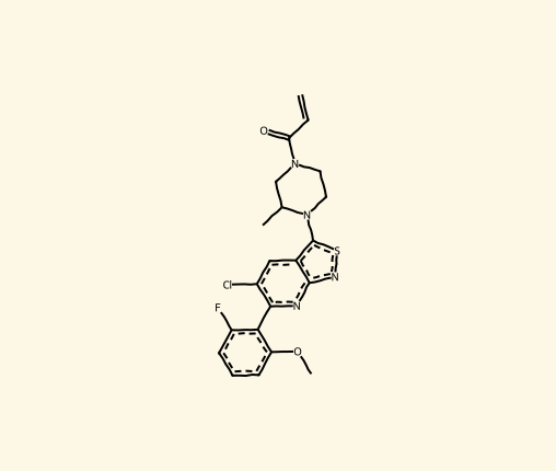 C=CC(=O)N1CCN(c2snc3nc(-c4c(F)cccc4OC)c(Cl)cc23)C(C)C1